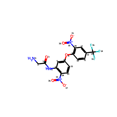 NCC(=O)Nc1cc(Oc2ccc(C(F)(F)F)cc2[N+](=O)[O-])ccc1[N+](=O)[O-]